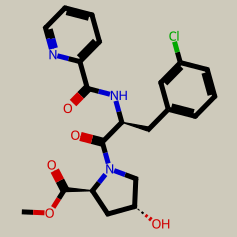 COC(=O)[C@@H]1C[C@@H](O)CN1C(=O)[C@H](Cc1cccc(Cl)c1)NC(=O)c1ccccn1